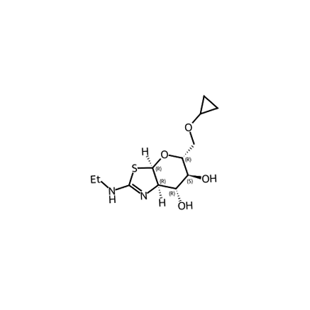 CCNC1=N[C@@H]2[C@@H](O)[C@H](O)[C@@H](COC3CC3)O[C@@H]2S1